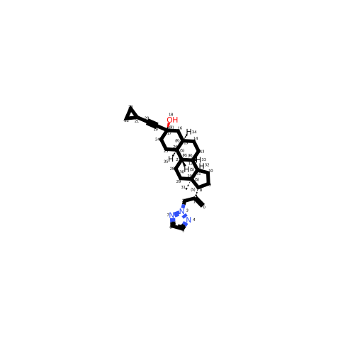 C=C(Cn1nccn1)[C@H]1CC[C@H]2[C@@H]3CC[C@@H]4C[C@@](O)(C#CC5CC5)CC[C@@H]4[C@H]3CC[C@]12C